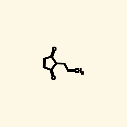 C=CCC1C(=O)C=CC1=O